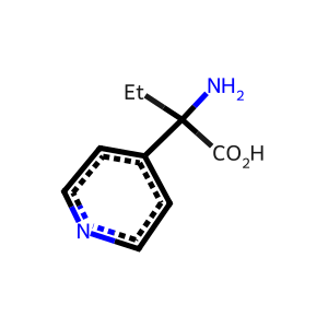 CCC(N)(C(=O)O)c1ccncc1